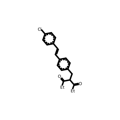 CCC(=O)C(Cc1ccc(C=Cc2ccc(Cl)cc2)cc1)C(=O)CC